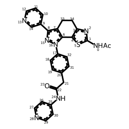 CC(=O)Nc1nc2c(s1)-c1c(c(-c3cccnc3)nn1-c1ccc(CC(=O)Nc3ccncc3)cc1)CC2